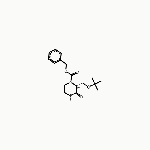 CC(C)(C)OC[C@@H]1C(=O)NCCN1C(=O)OCc1ccccc1